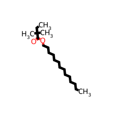 CCCCCCCCCCCCCCOC(=O)C(C)(C)CC